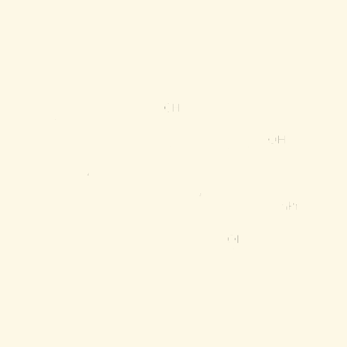 CCCc1c(O)cc(C(C)=Cc2ccccc2)cc1O